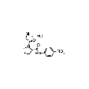 Cl.NCC(=O)N1CCCC1C(=O)Nc1ccc([N+](=O)[O-])cc1